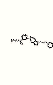 COC(=O)c1ccnc(-c2cc3ccn(CCCc4ccccc4)c3cn2)c1